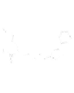 CC(C)N(C(C)C)P(OCCC#N)OCCCCC1=COC(c2ccccc2)O1